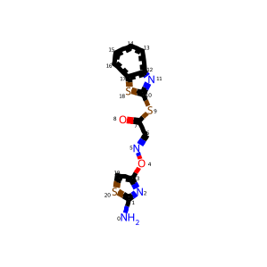 Nc1nc(ON=CC(=O)Sc2nc3ccccc3s2)cs1